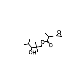 C1CO1.CC(C)C(=O)OCC(C)(C)C(O)C(C)C